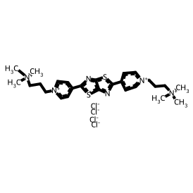 C[N+](C)(C)CCC[n+]1ccc(-c2nc3sc(-c4cc[n+](CCC[N+](C)(C)C)cc4)nc3s2)cc1.[Cl-].[Cl-].[Cl-].[Cl-]